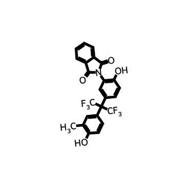 Cc1cc(C(c2ccc(O)c(N3C(=O)c4ccccc4C3=O)c2)(C(F)(F)F)C(F)(F)F)ccc1O